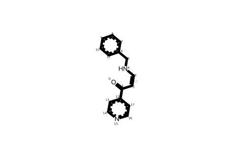 O=C(/C=C\NCc1ccccc1)c1ccncc1